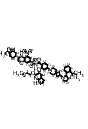 COCCOc1nc2[nH]ccc2cc1Oc1cc(N2CCC3(CC2)CC(N2CCC[C@@H]2c2ccccc2C(C)C)C3)ccc1C(=O)NS(=O)(=O)c1cc2c(c([N+](=O)[O-])c1)N[C@@H](C1CCC(C)(O)CC1)CO2